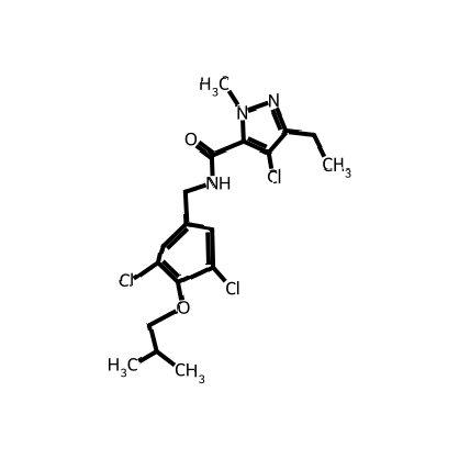 CCc1nn(C)c(C(=O)NCc2cc(Cl)c(OCC(C)C)c(Cl)c2)c1Cl